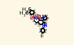 Cc1ccc(S(=O)(=O)N2CCC3=Cc4c(cnn4-c4ccc(F)cc4)C[C@]3(C(=O)c3ccccn3)C2)cc1C